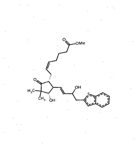 COC(=O)CCC/C=C\C[C@H]1C(=O)C(C)(C)[C@@H](O)C1/C=C/C(O)Cc1cc2ccccc2s1